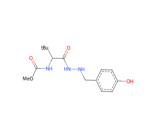 COC(=O)NC(C(=O)NNCc1ccc(O)cc1)C(C)(C)C